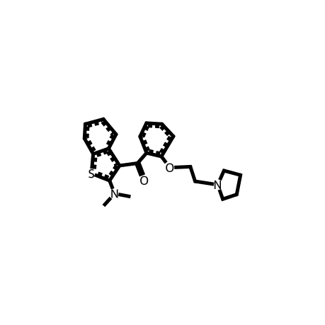 CN(C)c1sc2ccccc2c1C(=O)c1ccccc1OCCN1CCCC1